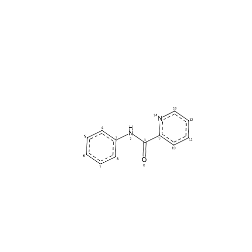 O=C(Nc1c[c]ccc1)c1ccccn1